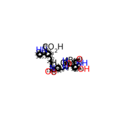 CC(C)(C)[Si](C)(C)O[C@H](CNCc1ccc2c(c1)oc(=O)n2CCCCc1ccc(NC(=O)O)c(-c2ccccc2)c1)c1ccc(O)c2[nH]c(=O)ccc12